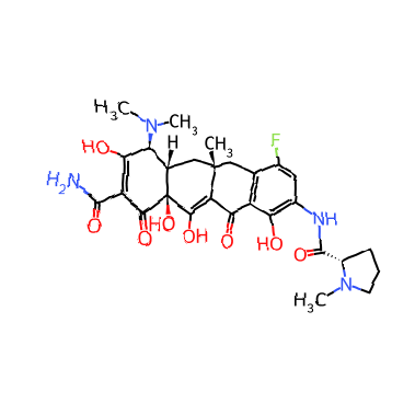 CN(C)[C@@H]1C(O)=C(C(N)=O)C(=O)[C@@]2(O)C(O)=C3C(=O)c4c(O)c(NC(=O)[C@@H]5CCCN5C)cc(F)c4C[C@@]3(C)C[C@@H]12